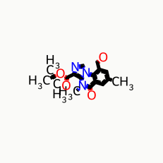 Cc1cc(C=O)c2c(c1)c(=O)n(C)c1c(C(=O)OC(C)(C)C)ncn21